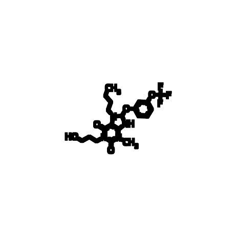 CCCCN1c2c(n(C)c(=O)n(CCCO)c2=O)NC1Oc1cccc(OC(F)(F)F)c1